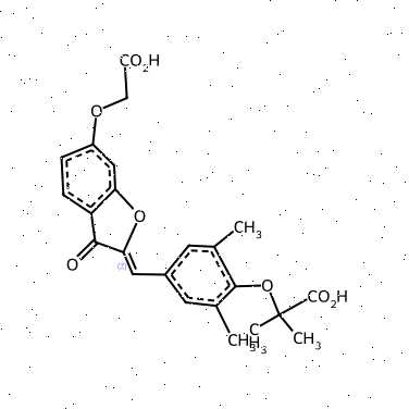 Cc1cc(/C=C2\Oc3cc(OCC(=O)O)ccc3C2=O)cc(C)c1OC(C)(C)C(=O)O